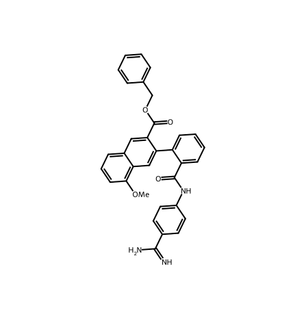 COc1cccc2cc(C(=O)OCc3ccccc3)c(-c3ccccc3C(=O)Nc3ccc(C(=N)N)cc3)cc12